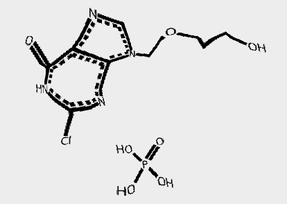 O=P(O)(O)O.O=c1[nH]c(Cl)nc2c1ncn2COCCO